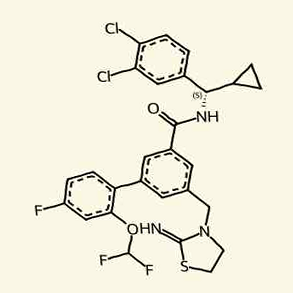 N=C1SCCN1Cc1cc(C(=O)N[C@H](c2ccc(Cl)c(Cl)c2)C2CC2)cc(-c2ccc(F)cc2OC(F)F)c1